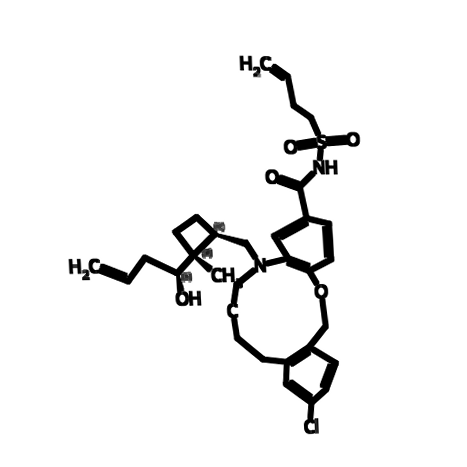 C=CCCS(=O)(=O)NC(=O)c1ccc2c(c1)N(C[C@@H]1CC[C@@]1(C)[C@@H](O)CC=C)CCCCc1cc(Cl)ccc1CO2